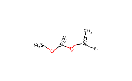 CC[SiH](C)O[SiH2]O[SiH3]